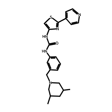 CC1CC(C)CN(Cc2cccc(NC(=O)Nc3csc(-c4ccncc4)n3)c2)C1